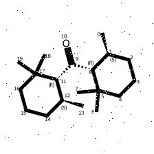 C[C@H]1CCCC(C)(C)[C@@H]1C(=O)[C@@H]1[C@@H](C)CCCC1(C)C